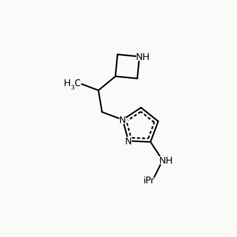 CC(C)Nc1ccn(CC(C)C2CNC2)n1